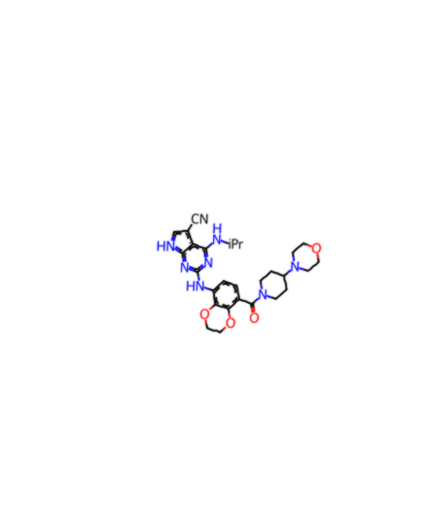 CC(C)Nc1nc(Nc2ccc(C(=O)N3CCC(N4CCOCC4)CC3)c3c2OCCO3)nc2[nH]cc(C#N)c12